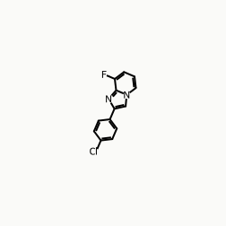 Fc1cccn2cc(-c3ccc(Cl)cc3)nc12